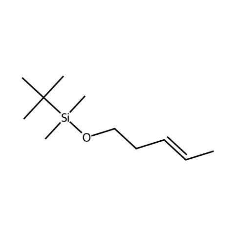 CC=CCCO[Si](C)(C)C(C)(C)C